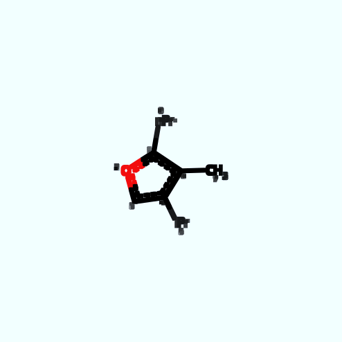 CC[CH]c1occ(C(C)C)c1C